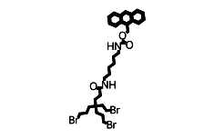 O=C(CCC(CCBr)(CCCBr)CCCBr)NCCCCCCNC(=O)OCc1c2ccccc2cc2ccccc12